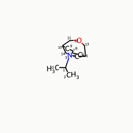 CC(C)N1CC2CCCCC(COC2)C1